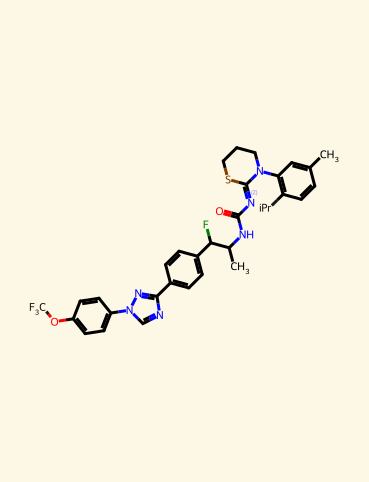 Cc1ccc(C(C)C)c(N2CCCS/C2=N\C(=O)NC(C)C(F)c2ccc(-c3ncn(-c4ccc(OC(F)(F)F)cc4)n3)cc2)c1